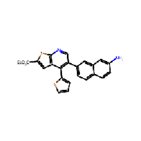 CCOC(=O)c1cc2c(-c3cccs3)c(-c3ccc4ccc(N)cc4c3)cnc2s1